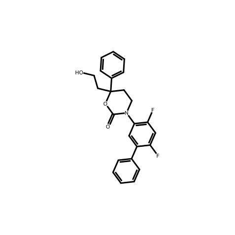 O=C1OC(CCO)(c2ccccc2)CCN1c1cc(-c2ccccc2)c(F)cc1F